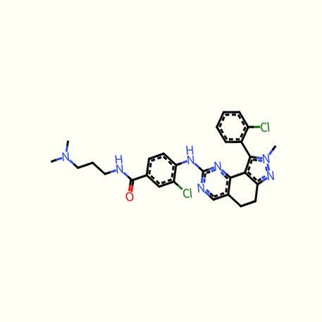 CN(C)CCCNC(=O)c1ccc(Nc2ncc3c(n2)-c2c(nn(C)c2-c2ccccc2Cl)CC3)c(Cl)c1